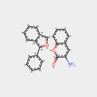 Nc1cc2ccccc2oc1=O.c1ccc(-c2occ3ccccc23)cc1